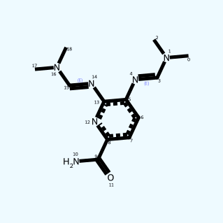 CN(C)/C=N/c1ccc(C(N)=O)nc1/N=C/N(C)C